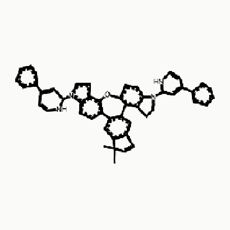 CC1(C)C=Cc2cc3c(cc21)-c1ccc2c(ccn2C2C=C(c4ccccc4)C=CN2)c1Oc1ccc2c(c1-3)CCN2C1C=C(c2ccccc2)C=CN1